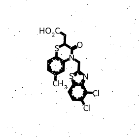 Cc1ccc2c(c1)N(Cc1nc3c(Cl)c(Cl)ccc3s1)C(=O)C(CC(=O)O)S2